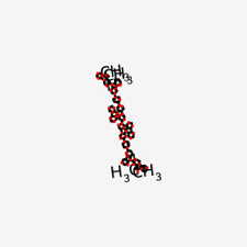 CC1(C)c2ccccc2-c2ccc(-n3c4ccccc4c4cc(-c5ccc(-c6ccc7c(c6)C6(c8ccccc8-c8ccccc86)c6cc(-c8ccc9c(c8)C8(c%10ccccc%10-c%10ccccc%108)c8cc(-c%10ccc(-c%11ccc%12c(c%11)c%11ccccc%11n%12-c%11ccc%12c(c%11)C(C)(C)c%11ccccc%11-%12)cc%10)ccc8-9)ccc6-7)cc5)ccc43)cc21